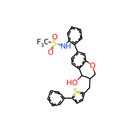 O=S(=O)(Nc1ccccc1-c1ccc2c(c1)OCC(Cc1ccc(-c3ccccc3)s1)C2O)C(F)(F)F